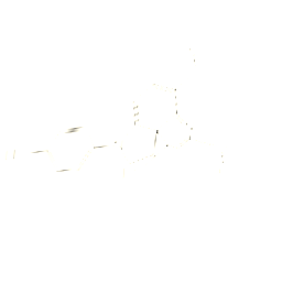 COC1=CC(C)C23CCN(c4ccc(O)cc4)C2=CC=C(OC)C3=N1